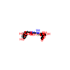 C[C@H](CCC(=O)N[C@H](CCCCNC(=S)Nc1ccc(-c2c3ccc(=O)cc-3oc3cc(O)ccc23)c(C(=O)O)c1)C(=O)O)[C@H]1CCC2[C@@H]3[C@H](O)C[C@@H]4C[C@H](O)CC[C@]4(C)[C@H]3C[C@H](O)[C@@]21C